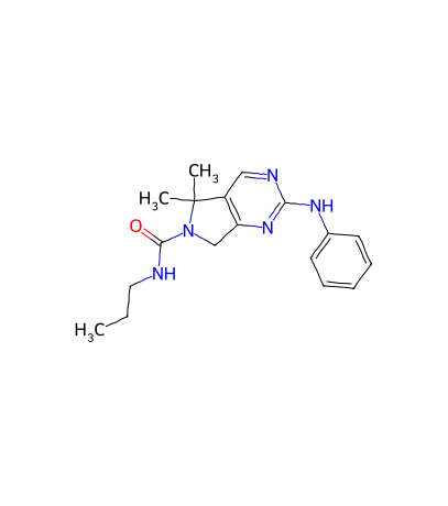 CCCNC(=O)N1Cc2nc(Nc3ccccc3)ncc2C1(C)C